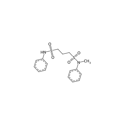 CN(c1ccccc1)S(=O)(=O)CCCS(=O)(=O)Nc1ccccc1